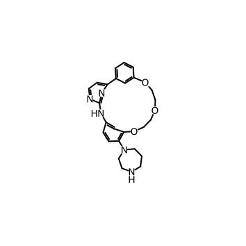 c1cc2cc(c1)-c1ccnc(n1)Nc1ccc(N3CCCNCC3)c(c1)OCCOCCO2